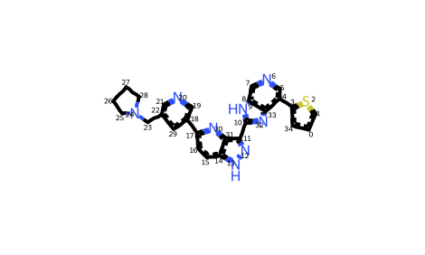 c1csc(-c2cncc3[nH]c(-c4n[nH]c5ccc(-c6cncc(CN7CCCC7)c6)nc45)nc23)c1